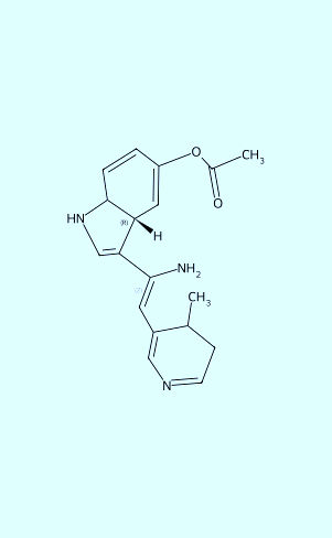 CC(=O)OC1=C[C@@H]2C(/C(N)=C/C3=CN=CCC3C)=CNC2C=C1